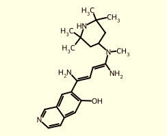 CN(/C(N)=C/C=C(\N)c1cc2cnccc2cc1O)C1CC(C)(C)NC(C)(C)C1